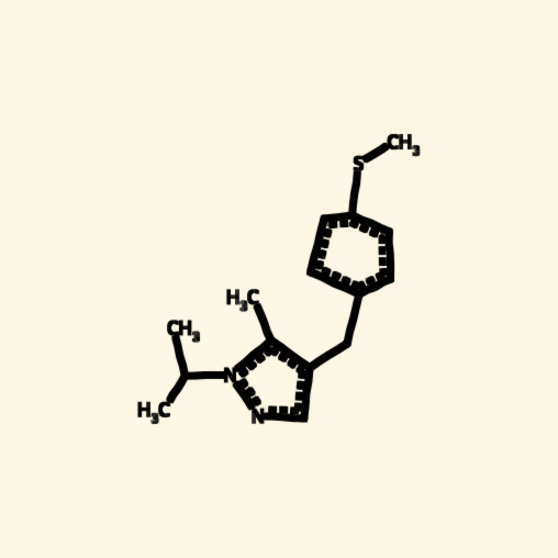 CSc1ccc(Cc2cnn(C(C)C)c2C)cc1